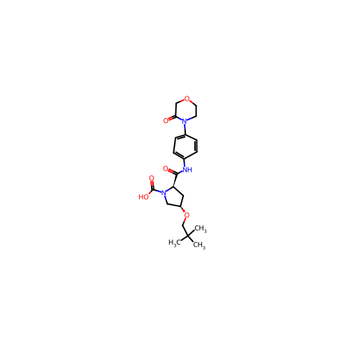 CC(C)(C)CO[C@@H]1C[C@H](C(=O)Nc2ccc(N3CCOCC3=O)cc2)N(C(=O)O)C1